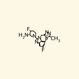 Cc1nnc(Cn2c(N3CCC(F)[C@H](N)C3)nc3cc(F)cc(F)c32)s1